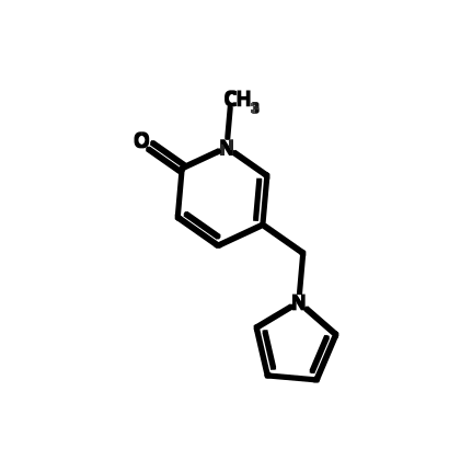 Cn1cc(Cn2cccc2)ccc1=O